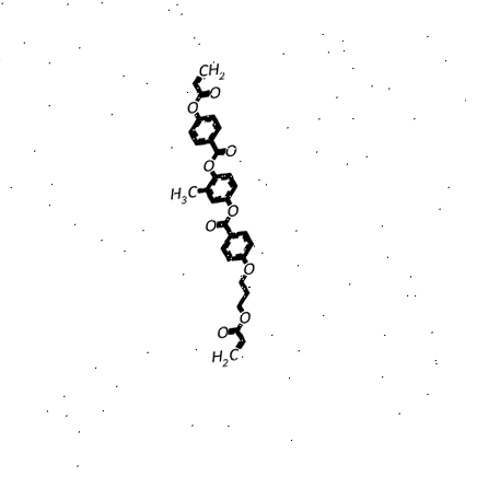 C=CC(=O)OCCCOc1ccc(C(=O)Oc2ccc(OC(=O)c3ccc(OC(=O)C=C)cc3)c(C)c2)cc1